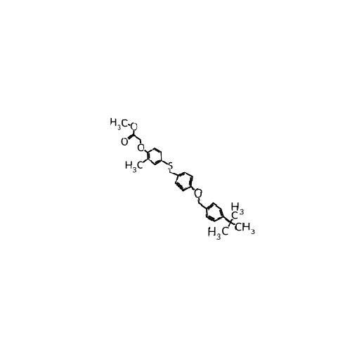 COC(=O)COc1ccc(SCc2ccc(OCc3ccc(C(C)(C)C)cc3)cc2)cc1C